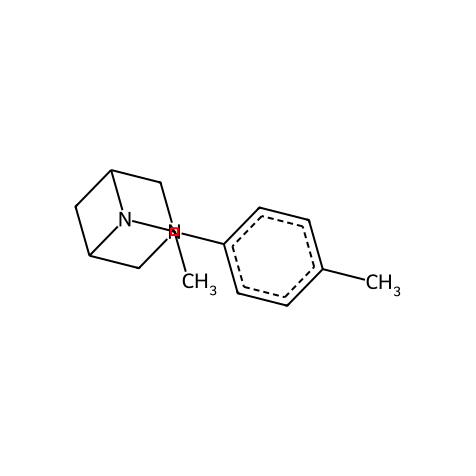 CCN1C2CC1CN(c1ccc(C)cc1)C2